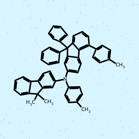 Cc1ccc(-c2cccc3c2-c2ccc(N(c4ccc(C)cc4)c4ccc5c(c4)C(C)(C)c4ccccc4-5)cc2C3(c2ccccc2)c2ccccc2)cc1